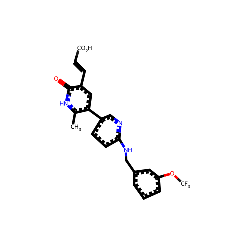 Cc1[nH]c(=O)c(/C=C/C(=O)O)cc1-c1ccc(NCc2cccc(OC(F)(F)F)c2)nc1